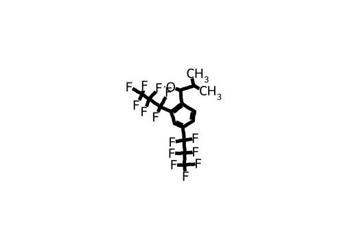 CC(C)C([O])c1ccc(C(F)(F)C(F)(F)C(F)(F)F)cc1C(F)(F)C(F)(F)C(F)(F)F